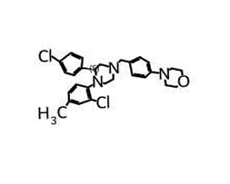 Cc1ccc(N2CCN(Cc3ccc(N4CCOCC4)cc3)C[C@@H]2c2ccc(Cl)cc2)c(Cl)c1